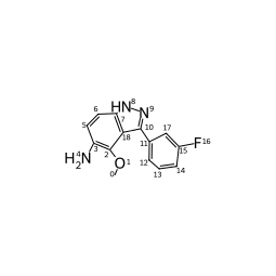 COc1c(N)ccc2[nH]nc(-c3cccc(F)c3)c12